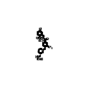 CCS(=O)(=O)c1ccc(Cl)cc1CNC(=O)c1ccc(CN2CCC[C@@H](CNC=O)C2)c(C(F)(F)F)c1